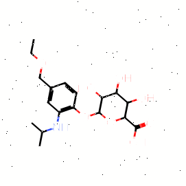 CCOCc1ccc(OC2OC(C(=O)O)C(O)C(O)C2O)c(NC(C)C)c1